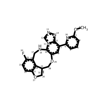 COc1cccc(-c2cc3c(n4cnnc24)NCc2c(F)ccc4c2[C@H](CO4)CO3)n1